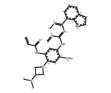 C=CC(=O)Nc1cc(N/C(N=C)=N/C(=N\C)c2cccc3cc[nH]c23)c(OC)cc1N1CC(N(C)C)C1